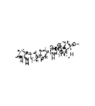 O=C(O)CC(NC(=O)c1ccc(N2CCC(NC3=NCCCN3)CC2)c(F)c1)NS(=O)(=O)c1ccc(O)cc1